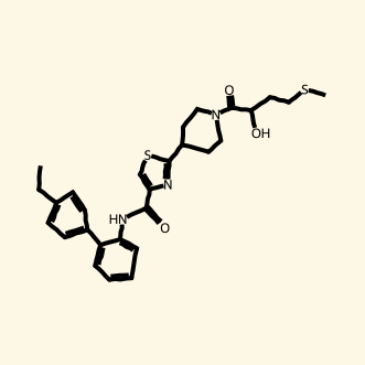 CCc1ccc(-c2ccccc2NC(=O)c2csc(C3CCN(C(=O)C(O)CCSC)CC3)n2)cc1